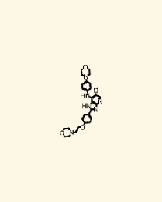 Clc1cnc2nc(-c3ccc(OCCN4CCOCC4)cc3)[nH]c2c1Nc1ccc(N2CCOCC2)cc1